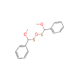 COC(SOSC(OC)c1ccccc1)c1ccccc1